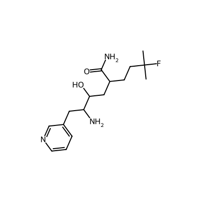 CC(C)(F)CCC(CC(O)C(N)Cc1cccnc1)C(N)=O